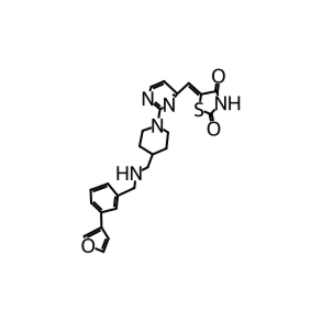 O=C1NC(=O)C(=Cc2ccnc(N3CCC(CNCc4cccc(-c5ccoc5)c4)CC3)n2)S1